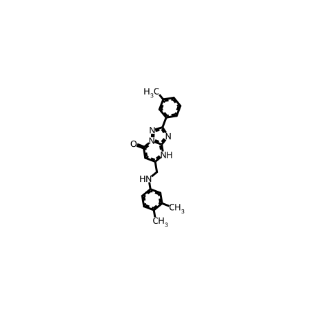 Cc1cccc(-c2nc3[nH]c(CNc4ccc(C)c(C)c4)cc(=O)n3n2)c1